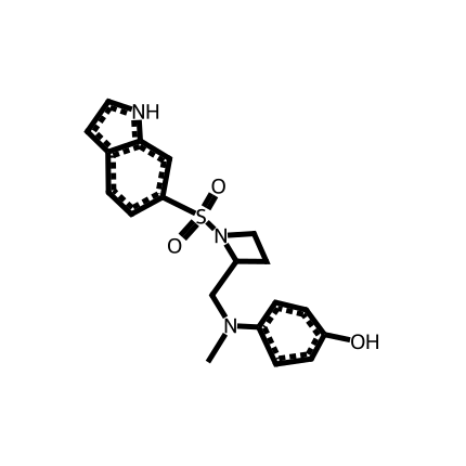 CN(CC1CCN1S(=O)(=O)c1ccc2cc[nH]c2c1)c1ccc(O)cc1